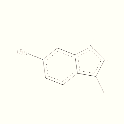 Cc1csc2cc(C(C)(C)C)ccc12